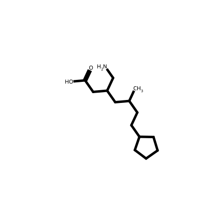 CC(CCC1CCCC1)CC(CN)CC(=O)O